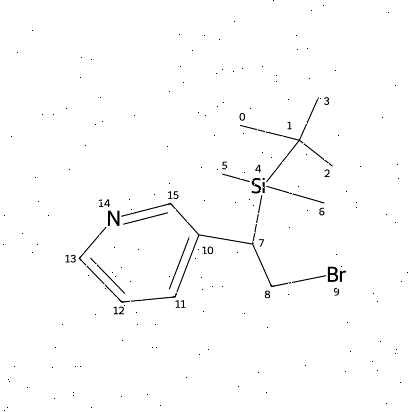 CC(C)(C)[Si](C)(C)C(CBr)c1cccnc1